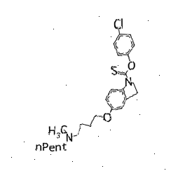 CCCCCN(C)CCCCOc1ccc2c(c1)CCN2C(=S)Oc1ccc(Cl)cc1